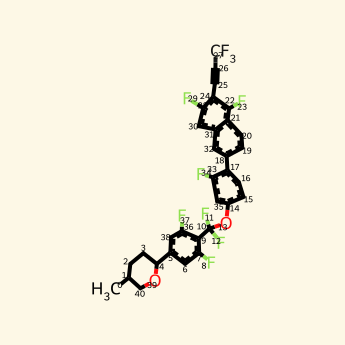 CC1CCC(c2cc(F)c(C(F)(F)Oc3ccc(-c4ccc5c(F)c(C#CC(F)(F)F)c(F)cc5c4)c(F)c3)c(F)c2)OC1